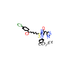 CCOC(=O)c1ccc(-n2cc(Cc3cncnc3)c(=O)nc2SCCCCCCCC(=O)c2ccc(Cl)cc2)cc1